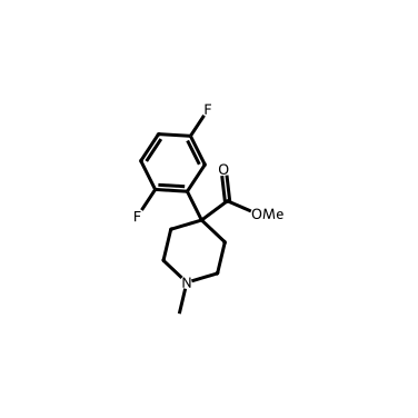 COC(=O)C1(c2cc(F)ccc2F)CCN(C)CC1